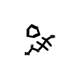 CC(C)(O)C(C)(C)OBO.c1ccncc1